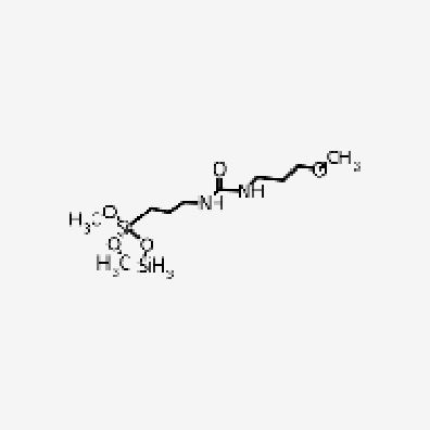 COCCCNC(=O)NCCC[Si](OC)(OC)O[SiH3]